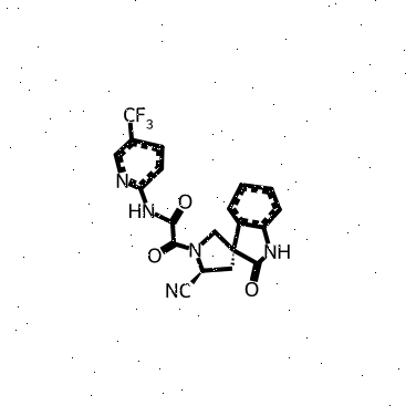 N#C[C@@H]1C[C@@]2(CN1C(=O)C(=O)Nc1ccc(C(F)(F)F)cn1)C(=O)Nc1ccccc12